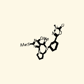 COc1nc(SC)nc2c1C(=O)N(c1cccc(-c3nn(C)c(=O)o3)c1)CC1CCCN21